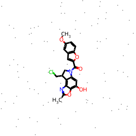 COc1ccc2oc(C(=O)N3CC(CCl)c4c3cc(O)c3oc(C)nc43)cc2c1